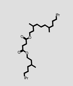 CC(C)CCCC(C)CCCC(C)CCOC(=O)CCC(=O)OCCC(C)CCCC(C)C